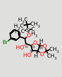 CC1(C)O[C@H]2O[C@H]([C@H](O)C(O[Si](C)(C)C(C)(C)C)c3cccc(Br)c3)[C@H](O)[C@H]2O1